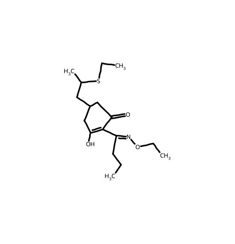 CCCC(=NOCC)C1=C(O)CC(CC(C)SCC)CC1=O